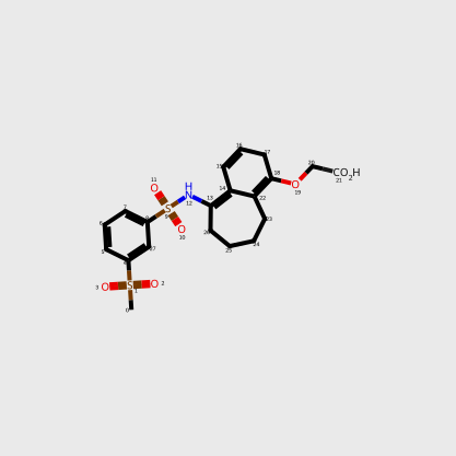 CS(=O)(=O)c1cccc(S(=O)(=O)NC2=C3C=CCC(OCC(=O)O)=C3CCCC2)c1